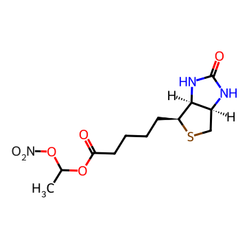 CC(OC(=O)CCCC[C@@H]1SC[C@@H]2NC(=O)N[C@@H]21)O[N+](=O)[O-]